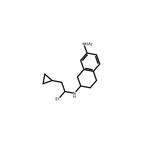 CCC(CC1CC1)NC1CCc2ccc(NC(C)=O)cc2C1